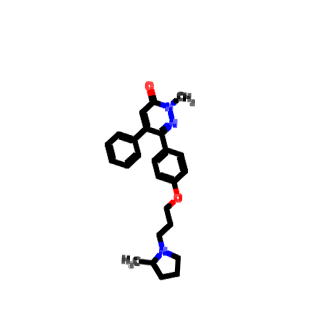 CC1CCCN1CCCOc1ccc(-c2nn(C)c(=O)cc2-c2ccccc2)cc1